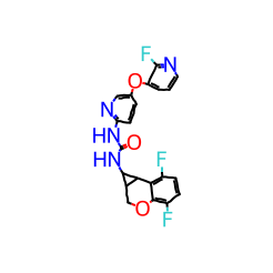 O=C(Nc1ccc(Oc2cccnc2F)cn1)NC1C2COc3c(F)ccc(F)c3C21